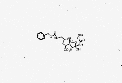 CC(CNC(=O)OCc1ccccc1)CC(CCC(O)(NC(=O)OC(C)(C)C)OP=O)C(=O)O